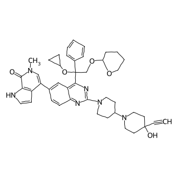 C#CC1(O)CCN(C2CCN(c3nc(C(COC4CCCCO4)(OC4CC4)c4ccccc4)c4cc(-c5cn(C)c(=O)c6[nH]ccc56)ccc4n3)CC2)CC1